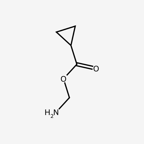 NCOC(=O)C1CC1